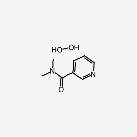 CN(C)C(=O)c1cccnc1.OO